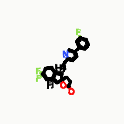 O=C1CCC2(C[C@@H]3CC(F)(F)CC[C@H]3[C@@H]2C=Cc2ccc(-c3cccc(F)c3)cn2)O1